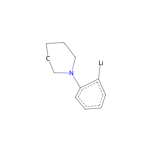 [Li][c]1ccccc1N1CCCCC1